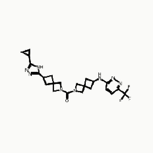 O=C(N1CC2(CC(Nc3ccc(C(F)(F)F)nn3)C2)C1)N1CC2(CC(c3nnc(C4CC4)[nH]3)C2)C1